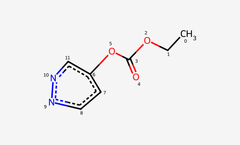 CCOC(=O)Oc1ccnnc1